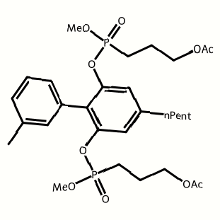 CCCCCc1cc(OP(=O)(CCCOC(C)=O)OC)c(-c2cccc(C)c2)c(OP(=O)(CCCOC(C)=O)OC)c1